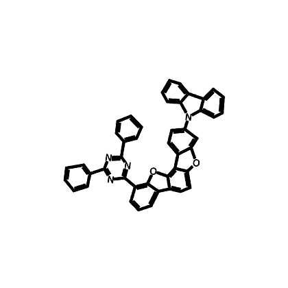 c1ccc(-c2nc(-c3ccccc3)nc(-c3cccc4c3oc3c4ccc4oc5cc(-n6c7ccccc7c7ccccc76)ccc5c43)n2)cc1